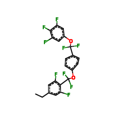 CCc1cc(F)c(C(F)(F)Oc2ccc(C(F)(F)Oc3cc(F)c(F)c(F)c3)cc2)c(F)c1